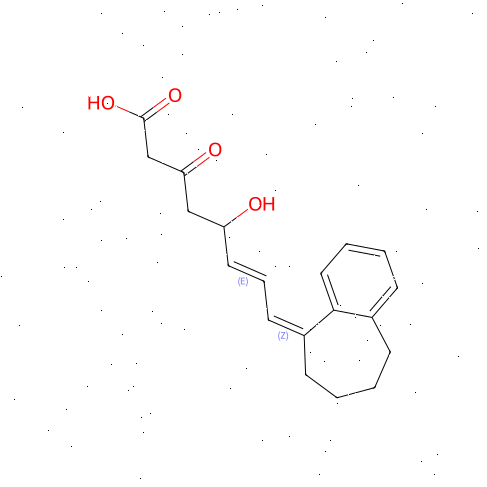 O=C(O)CC(=O)CC(O)/C=C/C=C1/CCCCc2ccccc21